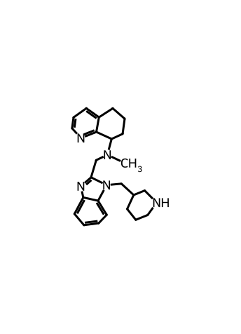 CN(Cc1nc2ccccc2n1CC1CCCNC1)C1CCCc2cccnc21